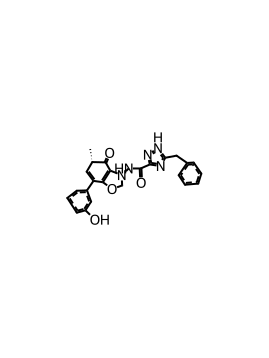 C[C@H]1C=C(c2cccc(O)c2)C2=C(C1=O)N(NC(=O)c1n[nH]c(Cc3ccccc3)n1)CO2